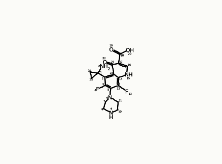 NC1(c2c(F)c(N3CCNCC3)c(F)c3[nH]cc(C(=O)O)c(=O)c23)CC1